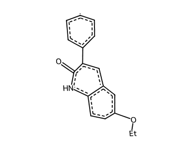 CCOc1ccc2[nH]c(=O)c(-c3cc[c]cc3)cc2c1